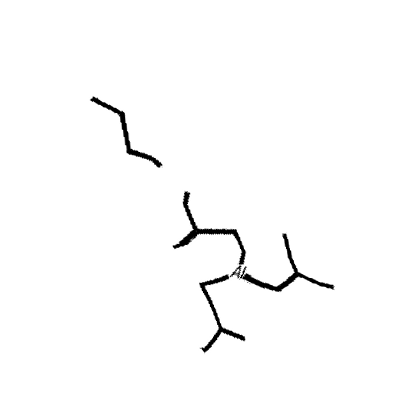 CC(C)[CH2][Al]([CH2]C(C)C)[CH2]C(C)C.CCCC